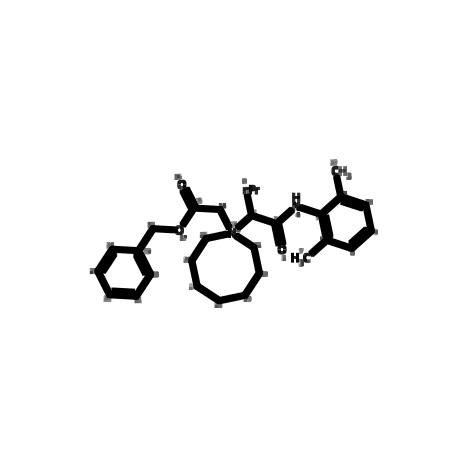 CCCC(C(=O)Nc1c(C)cccc1C)[N+]1(CC(=O)OCc2ccccc2)CCCCCCC1